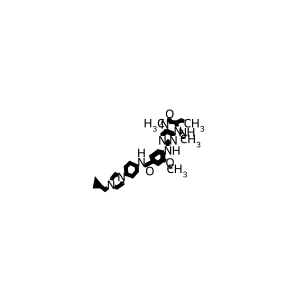 CCC1C(=O)N(C)c2cnc(Nc3ccc(C(=O)N[C@H]4CC[C@H](N5CCN(CC6CC6)CC5)CC4)cc3OC)nc2N1NC